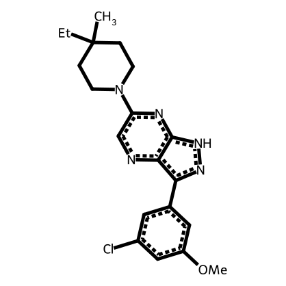 CCC1(C)CCN(c2cnc3c(-c4cc(Cl)cc(OC)c4)n[nH]c3n2)CC1